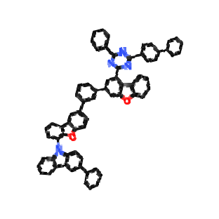 c1ccc(-c2ccc(-c3nc(-c4ccccc4)nc(-c4cc(-c5cccc(-c6ccc7oc8c(-n9c%10ccccc%10c%10cc(-c%11ccccc%11)ccc%109)cccc8c7c6)c5)cc5oc6ccccc6c45)n3)cc2)cc1